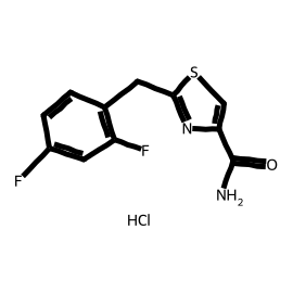 Cl.NC(=O)c1csc(Cc2ccc(F)cc2F)n1